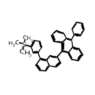 C[Si](C)(C)c1cccc(-c2cccc3ccc(-c4c5ccccc5c(-c5ccccc5)c5ccccc45)cc23)c1